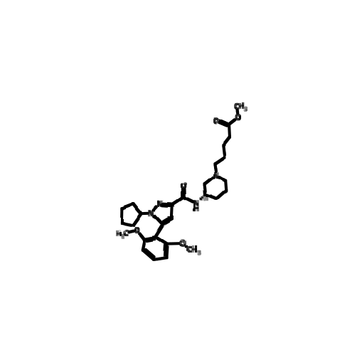 COC(=O)CCCCN1CCC[C@H](NC(=O)c2cc(-c3c(OC)cccc3OC)n(C3CCCC3)n2)C1